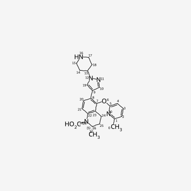 Cc1cccc(Oc2c(-c3cnn(C4CCNCC4)c3)ccc3c2CC[C@H](C)N3C(=O)O)n1